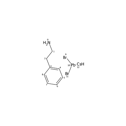 NCCc1ccccc1.[Br][Pb][Br].[CsH]